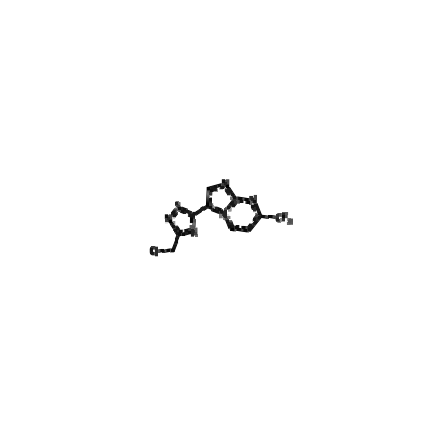 FC(F)(F)c1ccn2c(-c3nc(CCl)ns3)cnc2n1